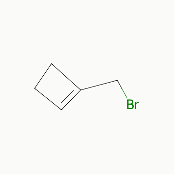 BrCC1=CCC1